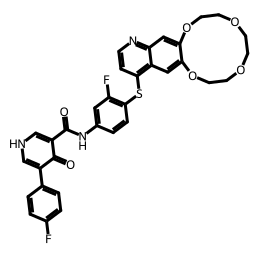 O=C(Nc1ccc(Sc2ccnc3cc4c(cc23)OCCOCCOCCO4)c(F)c1)c1c[nH]cc(-c2ccc(F)cc2)c1=O